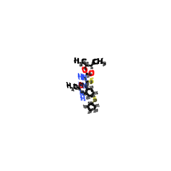 CCC(C)OC(=O)NC(=S)Nc1ccc(Sc2ccccc2)cc1NC(C)=O